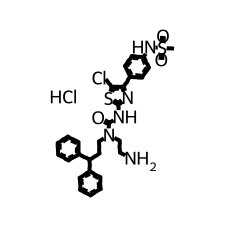 CS(=O)(=O)Nc1ccc(-c2nc(NC(=O)N(CCN)CCC(c3ccccc3)c3ccccc3)sc2Cl)cc1.Cl